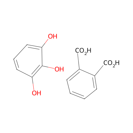 O=C(O)c1ccccc1C(=O)O.Oc1cccc(O)c1O